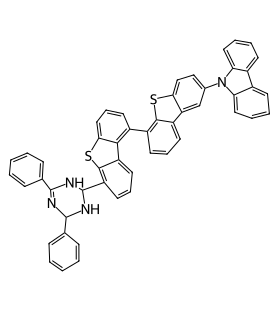 c1ccc(C2=NC(c3ccccc3)NC(c3cccc4c3sc3cccc(-c5cccc6c5sc5ccc(-n7c8ccccc8c8ccccc87)cc56)c34)N2)cc1